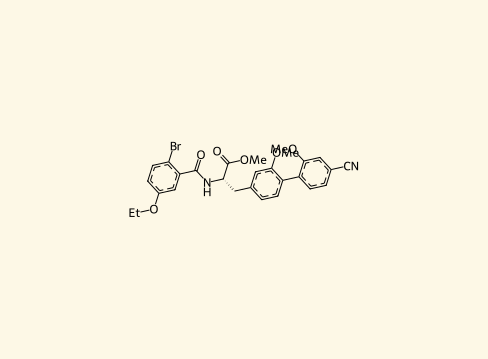 CCOc1ccc(Br)c(C(=O)N[C@@H](Cc2ccc(-c3ccc(C#N)cc3OC)c(OC)c2)C(=O)OC)c1